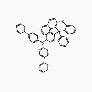 c1ccc(-c2ccc(N(c3ccc(-c4ccccc4)cc3)c3ccc(C4(c5ccccc5)c5ccccc5Sc5ccc6ccccc6c54)cc3)cc2)cc1